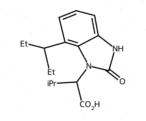 CCC(CC)c1cccc2[nH]c(=O)n(C(C(=O)O)C(C)C)c12